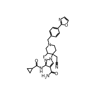 N#CCC1(n2cc(C(N)=O)c(NC(=O)C3CC3)n2)CCN(Cc2ccc(-c3ncco3)cc2)CC1F